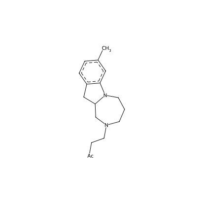 CC(=O)CCN1CCCN2c3cc(C)ccc3CC2C1